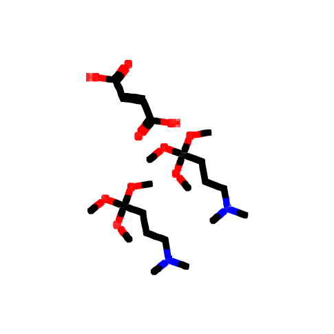 CO[Si](CCCN(C)C)(OC)OC.CO[Si](CCCN(C)C)(OC)OC.O=C(O)C=CC(=O)O